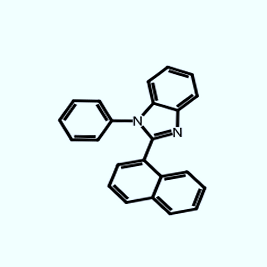 c1ccc(-n2c(-c3cccc4ccccc34)nc3ccccc32)cc1